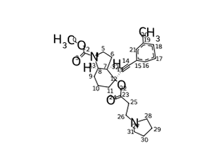 COC(=O)N1CC[C@@H]2[C@H]1CCC[C@]2(C#Cc1cccc(C)c1)OC(=O)CCN1CCCC1